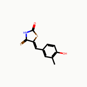 Cc1cc(/C=C2\SC(=O)NC2=S)ccc1O